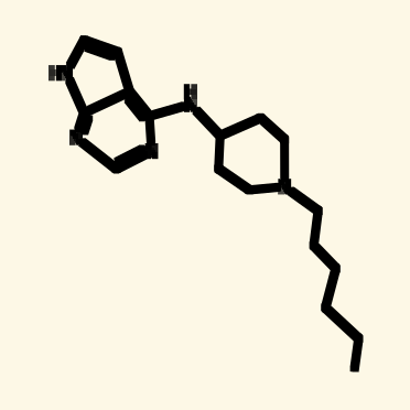 CCCCCCN1CCC(Nc2ncnc3[nH]ccc23)CC1